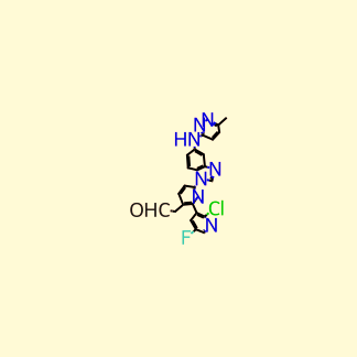 Cc1ccc(Nc2ccc3c(c2)ncn3-c2ccc(CC=O)c(-c3cc(F)cnc3Cl)n2)nn1